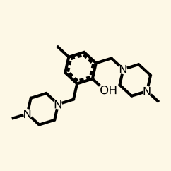 Cc1cc(CN2CCN(C)CC2)c(O)c(CN2CCN(C)CC2)c1